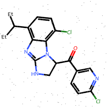 CCC(CC)c1ccc(Cl)c2c1nc1n2C(C(=O)c2ccc(Cl)nc2)CN1